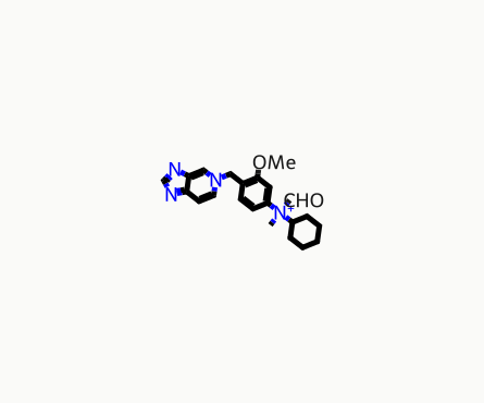 COc1cc([N+](C)(C=O)C2CCCCC2)ccc1Cn1ccc2ncnc-2c1